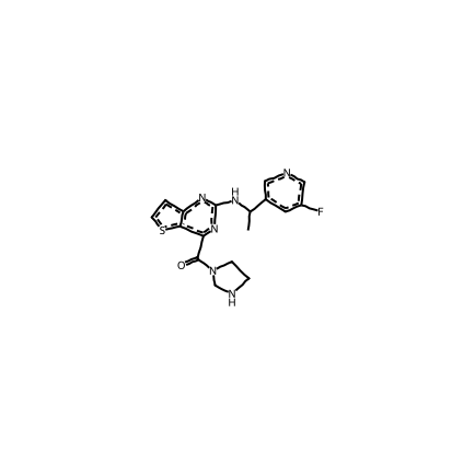 CC(Nc1nc(C(=O)N2CCNC2)c2sccc2n1)c1cncc(F)c1